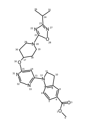 COC(=O)c1ccc2c(c1)CCN2c1cc(OC2CCN(c3nc(C(C)C)no3)CC2)ncn1